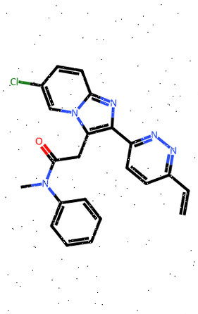 C=Cc1ccc(-c2nc3ccc(Cl)cn3c2CC(=O)N(C)c2ccccc2)nn1